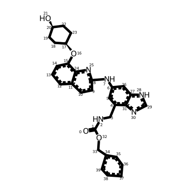 O=C(NCc1cc(Nc2ccc3cccc(O[C@H]4CC[C@@H](O)CC4)c3n2)cc2[nH]cnc12)OCc1ccccc1